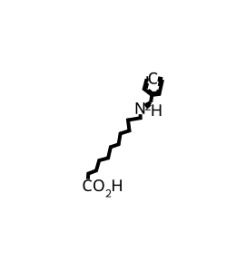 [2H]C(=NCCCCCCCCCCC(=O)O)c1ccccc1